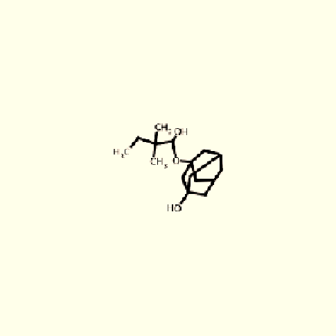 CCC(C)(C)C(O)OC12CC3CC(CC(O)(C3)C1)C2